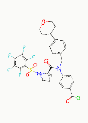 O=C(Cl)c1ccc(N(Cc2ccc(C3CCOCC3)cc2)C(=O)[C@H]2CCN2S(=O)(=O)c2c(F)c(F)c(F)c(F)c2F)cc1